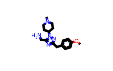 COc1ccc(Cc2nc(CN)n(C3CCN(C)CC3)n2)cc1